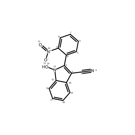 N#Cc1c(-c2ccccc2[N+](=O)[O-])n(O)c2ccccc12